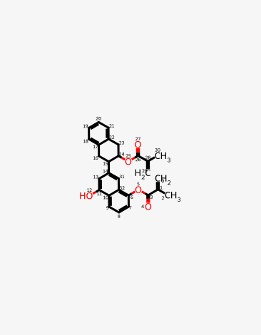 C=C(C)C(=O)Oc1cccc2c(O)cc(C3Cc4ccccc4CC3OC(=O)C(=C)C)cc12